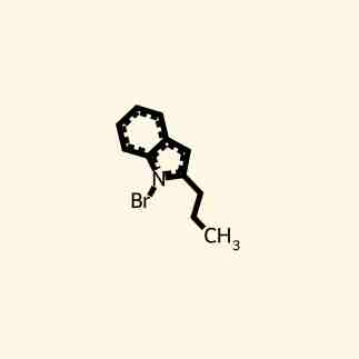 CCCc1cc2ccccc2n1Br